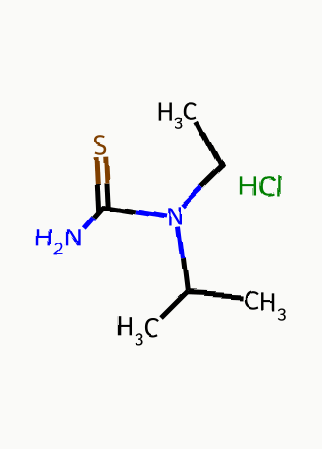 CCN(C(N)=S)C(C)C.Cl